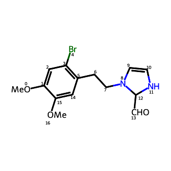 COc1cc(Br)c(CCN2C=CNC2C=O)cc1OC